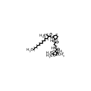 CCCCCCCCCCCCC(CC)C(=O)N[C@H]1CCCC[C@@H]1OC(=O)CCNC(=O)C1OC(C)(C)OCC1(C)C